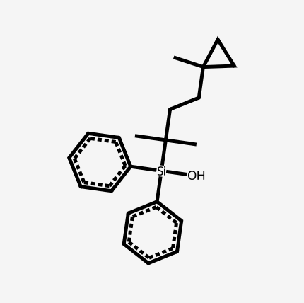 CC1(CCC(C)(C)[Si](O)(c2ccccc2)c2ccccc2)CC1